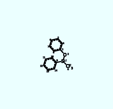 FC(F)(F)[Si](Oc1ccccc1)c1ccccc1